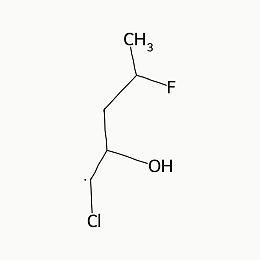 CC(F)CC(O)[CH]Cl